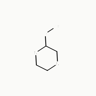 FC(F)(F)OC1CNCC[N]1